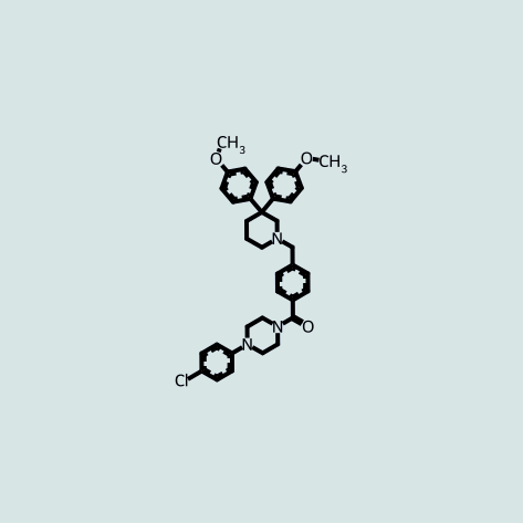 COc1ccc(C2(c3ccc(OC)cc3)CCCN(Cc3ccc(C(=O)N4CCN(c5ccc(Cl)cc5)CC4)cc3)C2)cc1